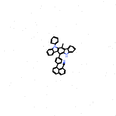 Cc1c2c([nH]c3ccccc32)c(-c2ccc(-c3cccc4cccc(C#N)c34)cc2)c2c3ccccc3n(-c3ccccc3)c12